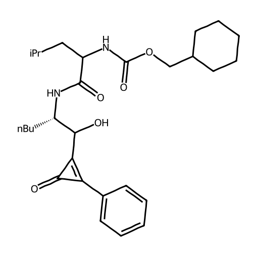 CCCC[C@H](NC(=O)C(CC(C)C)NC(=O)OCC1CCCCC1)C(O)c1c(-c2ccccc2)c1=O